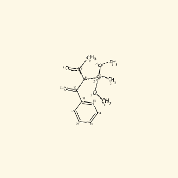 CO[Si](C)(OC)C(C(C)=O)C(=O)c1ccccc1